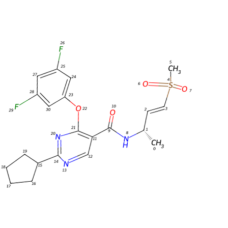 C[C@@H](/C=C/S(C)(=O)=O)NC(=O)c1cnc(C2CCCC2)nc1Oc1cc(F)cc(F)c1